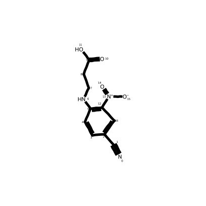 N#Cc1ccc(NCCC(=O)O)c([N+](=O)[O-])c1